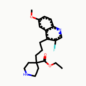 CCOC(=O)C1(CCCc2c(F)cnc3ccc(OC)cc23)CCNCC1